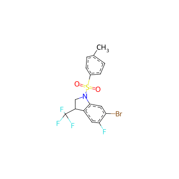 Cc1ccc(S(=O)(=O)N2CC(C(F)(F)F)c3cc(F)c(Br)cc32)cc1